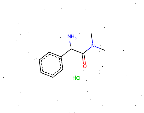 CN(C)C(=O)[C@@H](N)c1ccccc1.Cl